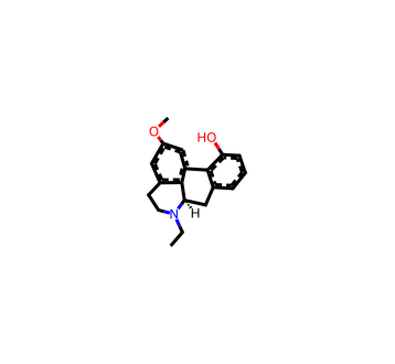 CCN1CCc2cc(OC)cc3c2[C@H]1Cc1cccc(O)c1-3